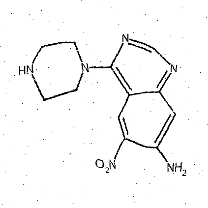 Nc1cc2ncnc(N3CCNCC3)c2cc1[N+](=O)[O-]